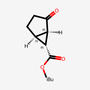 CCC(C)OC(=O)[C@@H]1[C@H]2CCC(=O)[C@H]21